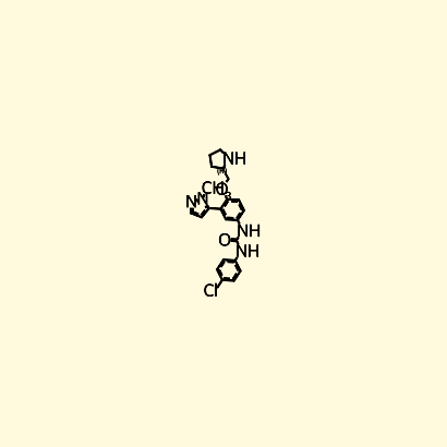 Cn1nccc1-c1cc(NC(=O)Nc2ccc(Cl)cc2)ccc1OC[C@H]1CCCN1